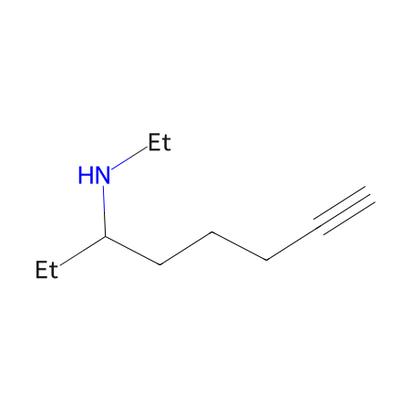 C#CCCCC(C[CH2])NCC